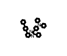 c1ccc(-c2ccc(-c3cccc4nc(-c5ccccc5)c(-c5ccc(N(c6ccccc6)c6ccccc6)cc5)nc34)cc2)cc1